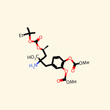 CCC(C)(C)OC(=O)O[C@@H](C)CC(N)(Cc1ccc(OC(=O)OC)c(OC(=O)OC)c1)C(=O)O